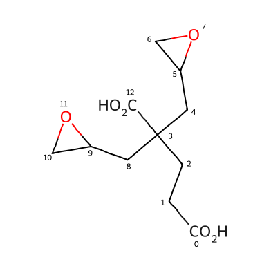 O=C(O)CCC(CC1CO1)(CC1CO1)C(=O)O